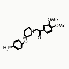 COc1ccc(C(=O)CN2CCC[C@H](Oc3ccc(P)cc3)C2)cc1OC